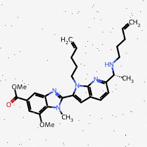 C=CCCCN[C@H](C)c1ccc2cc(-c3nc4cc(C(=O)OC)cc(OC)c4n3C)n(CCCC=C)c2n1